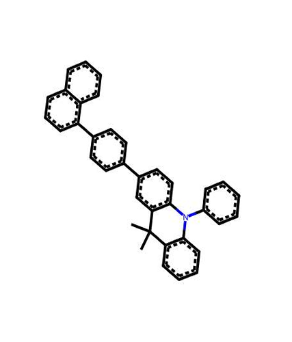 CC1(C)c2ccccc2N(c2ccccc2)c2ccc(-c3ccc(-c4cccc5ccccc45)cc3)cc21